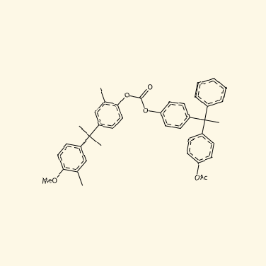 COc1ccc(C(C)(C)c2ccc(OC(=O)Oc3ccc(C(C)(c4ccccc4)c4ccc(OC(C)=O)cc4)cc3)c(C)c2)cc1C